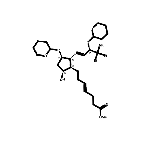 CCCCC(CC)(CC)[C@@H](C=C[C@@H]1[C@@H](CCC=CCCC(=O)OC)[C@@H](O)C[C@H]1OC1CCCCO1)OC1CCCCO1